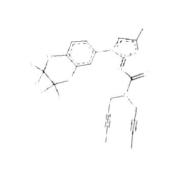 CC#CCN(CC#CC)C(=O)/N=c1\sc(C)cn1-c1ccc2c(c1)OC(F)(F)C(F)(F)O2